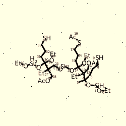 CCO[SiH2]OC(C)(CCCS)C(CC)(COC(C)=O)C(CCCSC(C)=O)(OCC)O[SiH2]OCC(CC)(COC(C)=O)C(CCCS)(OCC)O[SiH2]OCC